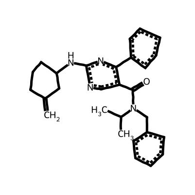 C=C1CCCC(Nc2ncc(C(=O)N(Cc3ccccc3)C(C)C)c(-c3ccccc3)n2)C1